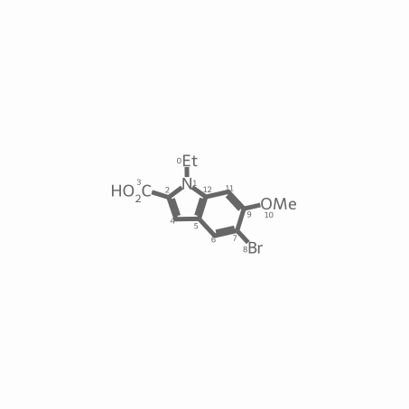 CCn1c(C(=O)O)cc2cc(Br)c(OC)cc21